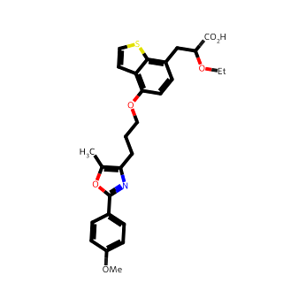 CCOC(Cc1ccc(OCCCc2nc(-c3ccc(OC)cc3)oc2C)c2ccsc12)C(=O)O